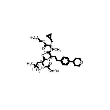 CN(C(=O)OC(C)(C)C)[C@@H](CC(C)(C)F)C(=O)O[C@H](CCc1ccc(C2CCOCC2)cc1)C(=O)N(C)[C@@H](CC1CC1)C(=O)OCC(=O)O